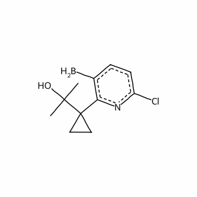 Bc1ccc(Cl)nc1C1(C(C)(C)O)CC1